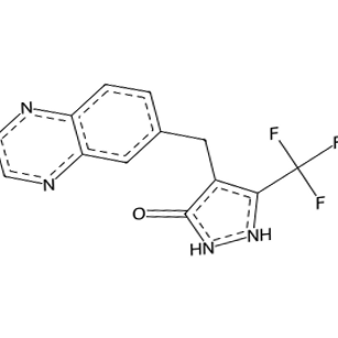 O=c1[nH][nH]c(C(F)(F)F)c1Cc1ccc2nccnc2c1